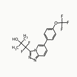 CC(C)(O)C(F)(F)c1nnc2ccc(-c3ccc(OC(F)(F)F)cc3)cn12